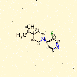 CC(C)C1CCN(c2ccncc2F)CC1